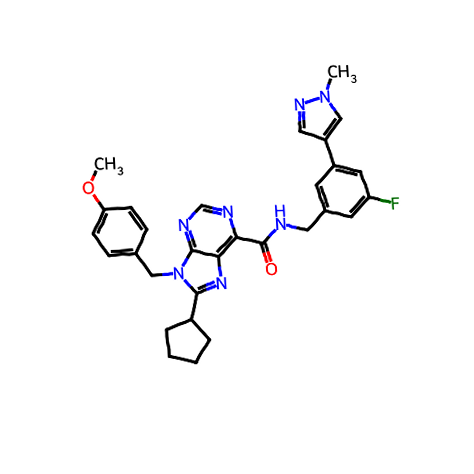 COc1ccc(Cn2c(C3CCCC3)nc3c(C(=O)NCc4cc(F)cc(-c5cnn(C)c5)c4)ncnc32)cc1